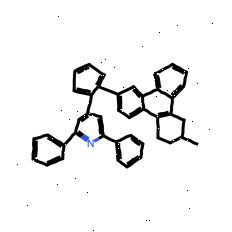 CC1CCc2c(c3ccccc3c3cc(-c4ccccc4-c4cc(-c5ccccc5)nc(-c5ccccc5)c4)ccc23)C1